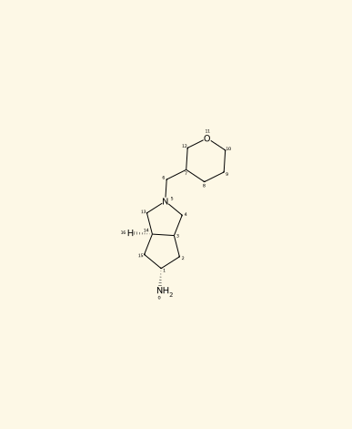 N[C@H]1CC2CN(CC3CCCOC3)C[C@@H]2C1